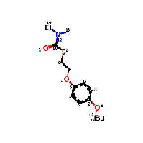 CC[C@H](C)Oc1ccc(OCCSC(=O)N(C)CC)cc1